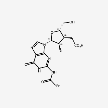 CC(C)C(=O)Nc1nc2c(ncn2[C@@H]2O[C@H](CO)[C@@H](CC(=O)O)[C@H]2F)c(=O)[nH]1